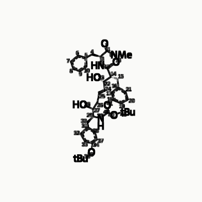 CNC(=O)[C@H](Cc1ccccc1)NC(=O)[C@H](Cc1ccccc1)[C@@H](O)/C=C/C[C@H](O)[C@H](Cc1ccc(OC(C)(C)C)cc1)NC(=O)OC(C)(C)C